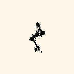 CCN(C(N)=O)C(=O)CCCCCOc1cc(C)ccc1N(C)C(=O)c1ccc(NC(=O)c2ccccc2OCCCNC(=O)OC(C)(C)C)c(OC)c1